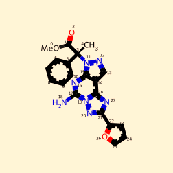 COC(=O)[C@@](C)(c1ccccc1)n1ncc2c1nc(N)n1nc(-c3ccco3)nc21